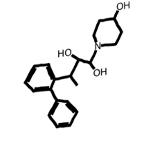 CC(c1ccccc1-c1ccccc1)C(O)C(O)N1CCC(O)CC1